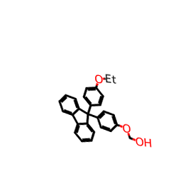 CCOc1ccc(C2(c3ccc(OCO)cc3)c3ccccc3-c3ccccc32)cc1